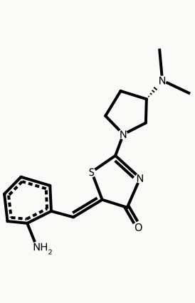 CN(C)[C@H]1CCN(C2=NC(=O)/C(=C/c3ccccc3N)S2)C1